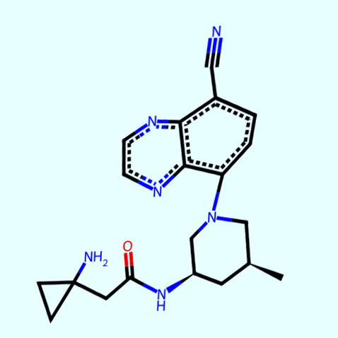 C[C@H]1C[C@@H](NC(=O)CC2(N)CC2)CN(c2ccc(C#N)c3nccnc23)C1